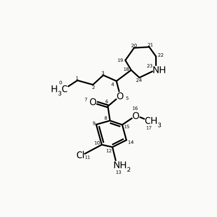 CCCCC(OC(=O)c1cc(Cl)c(N)cc1OC)C1CCCCNC1